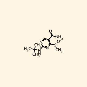 C[S+]([O-])c1nc(NC(C)(C)C)ncc1C(N)=O